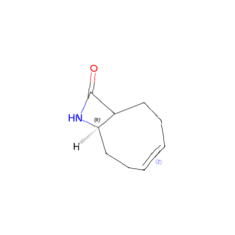 O=C1N[C@@H]2CC/C=C\CCC12